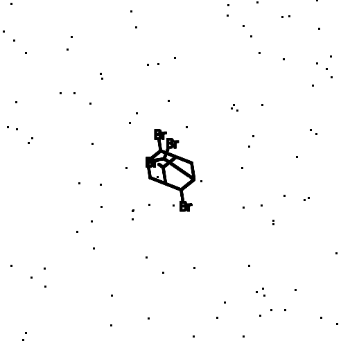 BrC1C2CC3C(Br)C1CC(C2Br)C3Br